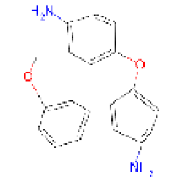 COc1ccccc1.Nc1ccc(Oc2ccc(N)cc2)cc1